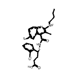 CCCCNc1nc2ccc(Br)cc2c(C(=O)NCC(CCC(=O)O)c2ccccc2Cl)c1C